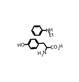 CCNc1ccccc1.NC(Cc1ccc(O)cc1)C(=O)O